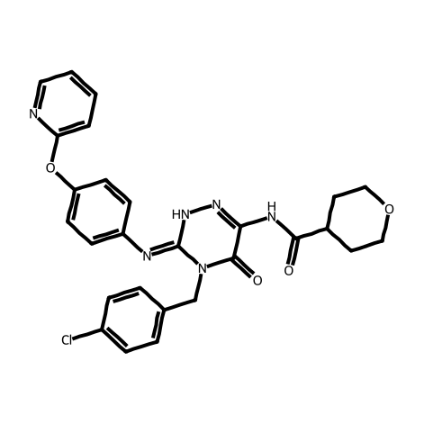 O=C(Nc1n[nH]/c(=N\c2ccc(Oc3ccccn3)cc2)n(Cc2ccc(Cl)cc2)c1=O)C1CCOCC1